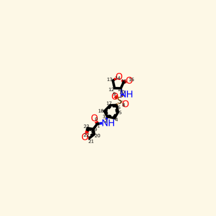 O=C(Nc1ccc(S(=O)(=O)N[C@H]2CCOC2=O)cc1)c1ccoc1